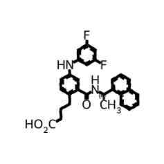 C[C@@H](NC(=O)c1cc(Nc2cc(F)cc(F)c2)ccc1CCCC(=O)O)c1cccc2ccccc12